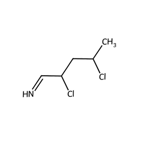 CC(Cl)CC(Cl)C=N